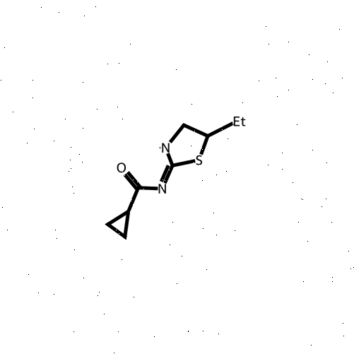 CCC1C[N]C(=NC(=O)C2CC2)S1